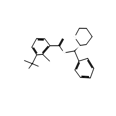 Cl.O=C(NC(c1ccccc1)[C@@H]1CCCCN1)c1cccc(C(F)(F)F)c1Cl